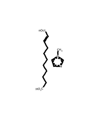 CCCCCCCCC=CCCCCCCCC(=O)O.Cn1ccnc1